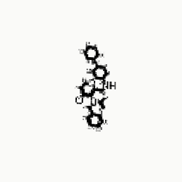 C=CC[C@@H](Nc1ccc(-c2ccccc2)cc1)c1occc(=O)c1OCc1ccccc1